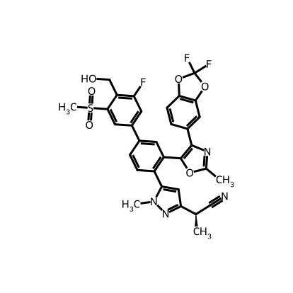 Cc1nc(-c2ccc3c(c2)OC(F)(F)O3)c(-c2cc(-c3cc(F)c(CO)c(S(C)(=O)=O)c3)ccc2-c2cc([C@H](C)C#N)nn2C)o1